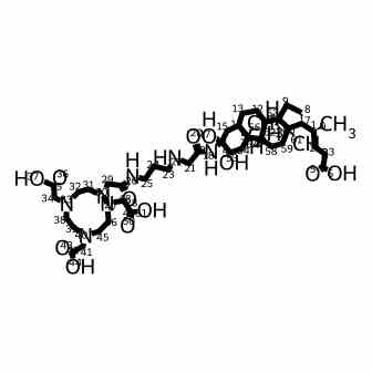 C[C@H](CCC(=O)O)[C@H]1CC[C@H]2[C@@H]3CCC4CC(O)(NC(=O)CNCCCNC(=O)CN5CCN(CC(=O)O)CCN(CC(=O)O)CCN5CC(=O)O)C(O)C[C@]4(C)[C@H]3CC[C@]12C